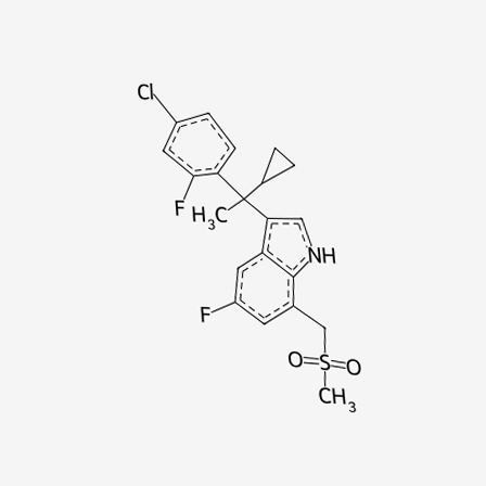 CC(c1ccc(Cl)cc1F)(c1c[nH]c2c(CS(C)(=O)=O)cc(F)cc12)C1CC1